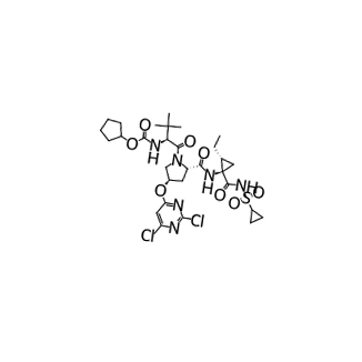 CC[C@@H]1C[C@]1(NC(=O)[C@@H]1C[C@@H](Oc2cc(Cl)nc(Cl)n2)CN1C(=O)[C@@H](NC(=O)OC1CCCC1)C(C)(C)C)C(=O)NS(=O)(=O)C1CC1